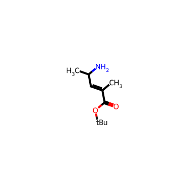 CC(=CC(C)N)C(=O)OC(C)(C)C